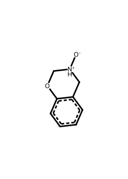 [O-][NH+]1COc2c[c]ccc2C1